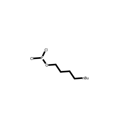 CCCCCCCCOP(Cl)Cl